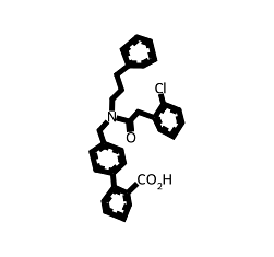 O=C(O)c1ccccc1-c1ccc(CN(CCCc2ccccc2)C(=O)Cc2ccccc2Cl)cc1